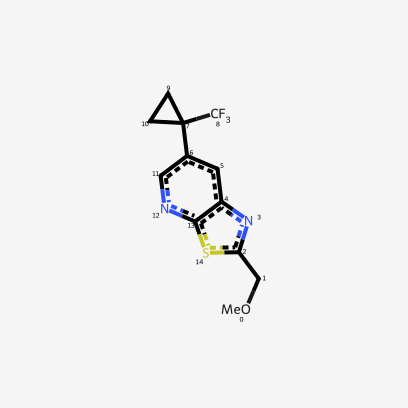 COCc1nc2cc(C3(C(F)(F)F)CC3)cnc2s1